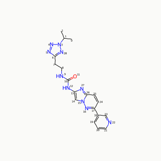 CC(C)n1nnc(CCNC(=O)Nc2cn3nc(-c4cccnc4)ccc3n2)n1